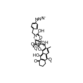 COc1c2c(c(O)c3c4c(c(C)cc13)[C@H]1O[C@]3(CN(Cc5ccc(N=[N+]=[N-])cc5)C(=O)O)O[C@@H]1C(OC)(O4)[C@@]31CO1)C(=O)CCC2